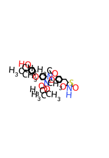 CC(=O)N(Oc1ccc(CC2SC(=O)NC2=O)cc1)c1ccc(Oc2ccc(O)c(C(C)(C)C)c2)cc1N(C)C(=O)OC(C)(C)C